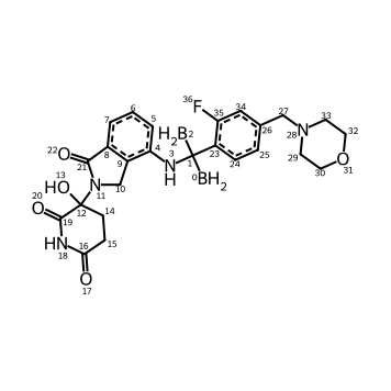 BC(B)(Nc1cccc2c1CN(C1(O)CCC(=O)NC1=O)C2=O)c1ccc(CN2CCOCC2)cc1F